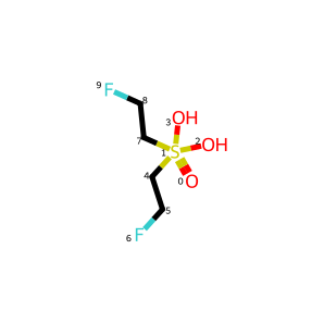 O=S(O)(O)(CCF)CCF